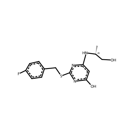 C[C@H](CO)Nc1cc(O)nc(SCc2ccc(F)cc2)n1